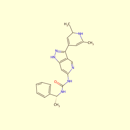 CC1=CC(c2n[nH]c3cc(NC(=O)N[C@H](C)c4ccccc4)ncc23)=CC(C)N1